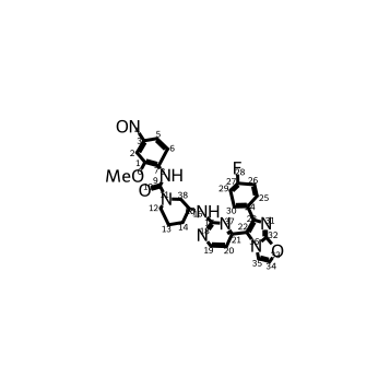 COc1cc(N=O)ccc1NC(=O)N1CCC[C@@H](Nc2nccc(-c3c(-c4ccc(F)cc4)nc4occn34)n2)C1